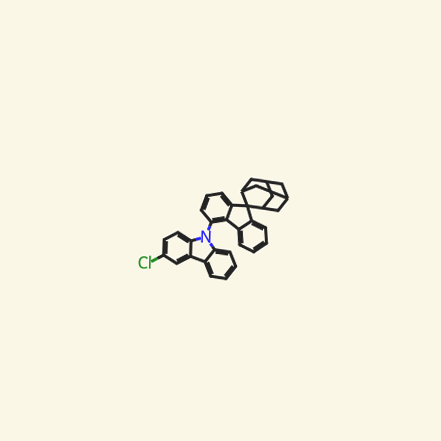 Clc1ccc2c(c1)c1ccccc1n2-c1cccc2c1-c1ccccc1C21C2CC3CC(C2)CC1C3